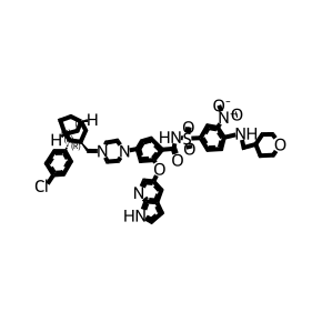 O=C(NS(=O)(=O)c1ccc(NCC2CCOCC2)c([N+](=O)[O-])c1)c1ccc(N2CCN(C[C@@H]3C[C@H]4CC[C@H](C4)[C@H]3c3ccc(Cl)cc3)CC2)cc1Oc1cnc2[nH]ccc2c1